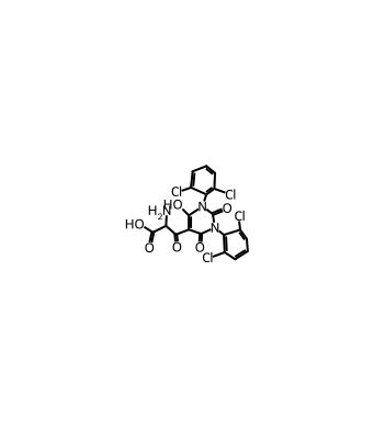 NC(C(=O)O)C(=O)c1c(O)n(-c2c(Cl)cccc2Cl)c(=O)n(-c2c(Cl)cccc2Cl)c1=O